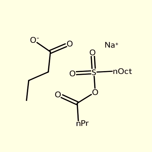 CCCC(=O)[O-].CCCCCCCCS(=O)(=O)OC(=O)CCC.[Na+]